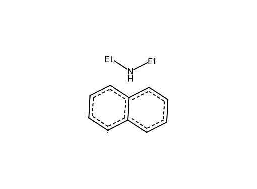 CCNCC.[c]1cccc2ccccc12